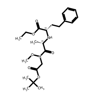 CCOC(=O)[C@H](CCc1ccccc1)N[C@@H](C)C(=O)N(CC(=O)OC(C)(C)C)OC